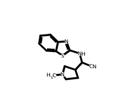 CN1CCC(C(C#N)Nc2nc3ccccc3s2)C1